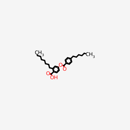 CCCCCCCCc1cc(OC(=O)c2ccc(CCCCCC)cc2)ccc1C(=O)O